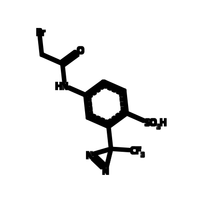 O=C(CBr)Nc1ccc(S(=O)(=O)O)c(C2(C(F)(F)F)N=N2)c1